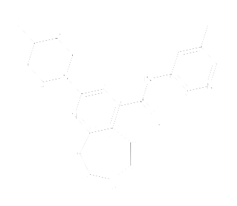 Cc1cncc(NC(=O)c2cc(N3CCC(F)CC3)nc3c2CCOCC3)c1